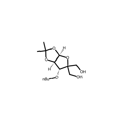 CCCCO[C@@H]1[C@H]2OC(C)(C)O[C@H]2OC1(CO)CO